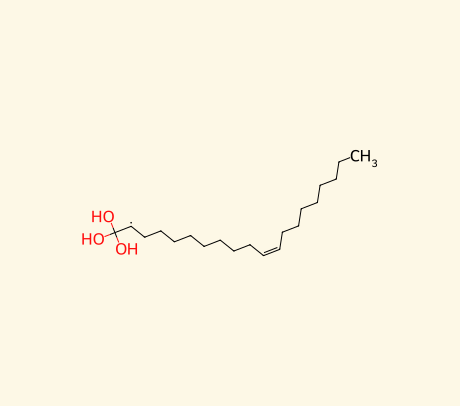 CCCCCCCC/C=C\CCCCCCCC[CH]C(O)(O)O